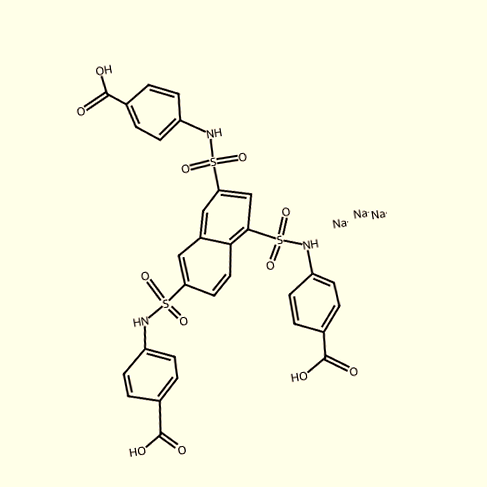 O=C(O)c1ccc(NS(=O)(=O)c2ccc3c(S(=O)(=O)Nc4ccc(C(=O)O)cc4)cc(S(=O)(=O)Nc4ccc(C(=O)O)cc4)cc3c2)cc1.[Na].[Na].[Na]